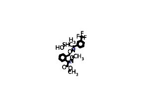 CO/N=C(/C(=O)OC)c1ccccc1CO/N=C(\C)c1cccc(C(F)(F)F)c1.OS